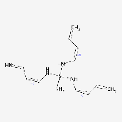 C=C/C=C\NS(N)(N/C=C\C=C)N/C=C\C=N